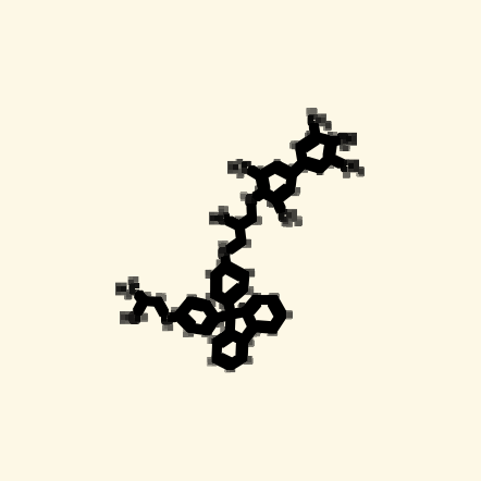 Cc1cc(-c2cc(C)c(OCC(O)COc3ccc(C4(c5ccc(OCC(C)O)cc5)c5ccccc5-c5ccccc54)cc3)c(C)c2)cc(C)c1O